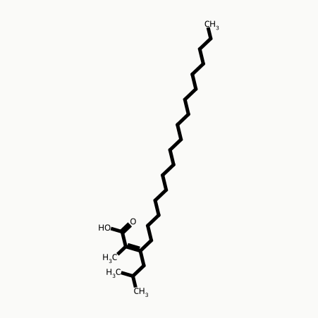 CCCCCCCCCCCCCCCCCCC(CC(C)C)=C(C)C(=O)O